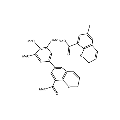 COC(=O)c1cc(-c2cc(OC)c(OC)c(OC)c2)cc2c1OCC=C2.COC(=O)c1cc(I)cc2c1OCC=C2